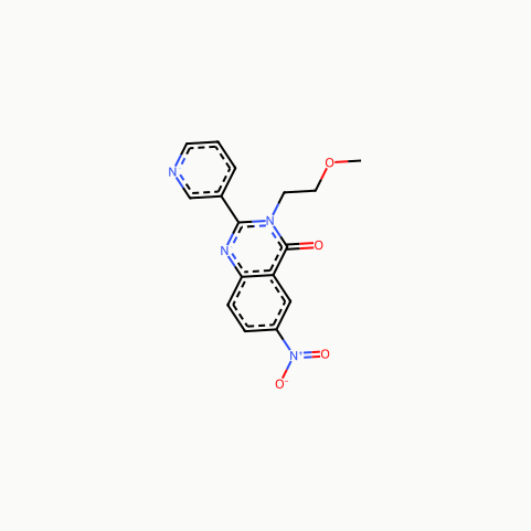 COCCn1c(-c2cccnc2)nc2ccc([N+](=O)[O-])cc2c1=O